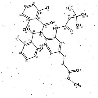 COC(=O)CCc1cnc(N(C(=O)c2c(Cl)cccc2Cl)C(=O)c2c(Cl)cccc2Cl)c(NC(=O)OC(C)(C)C)c1